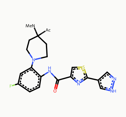 CNC1(C(C)=O)CCN(c2cc(F)ccc2NC(=O)c2csc(-c3cn[nH]c3)n2)CC1